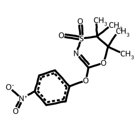 CC1(C)OC(Oc2ccc([N+](=O)[O-])cc2)=NS(=O)(=O)C1(C)C